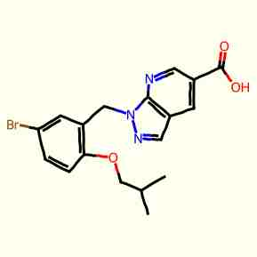 CC(C)COc1ccc(Br)cc1Cn1ncc2cc(C(=O)O)cnc21